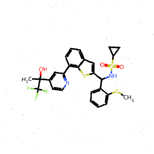 CSc1ccccc1C(NS(=O)(=O)C1CC1)c1cc2cccc(-c3cc(C(C)(O)C(F)(F)F)ccn3)c2s1